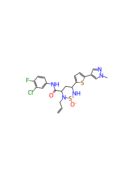 C=CCN1C(C(=O)Nc2ccc(F)c(Cl)c2)CC(c2ccc(-c3cnn(C)c3)s2)N[S+]1[O-]